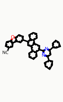 N#Cc1ccc2oc3ccc(-c4cc5c6ccccc6c(-c6nc(-c7ccccc7)cc(-c7ccccc7)n6)cc5c5ccccc45)cc3c2c1